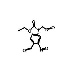 CCOC(=O)NCN=O.O=Cc1ccccc1N=O